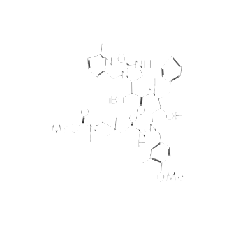 CCC(C)C(C(=O)NC(Cc1ccccc1)C(O)CN(Cc1ccc(OC)c(C)c1)NC(=O)CC(C)(C)CNC(=O)OC)C1CNC(=O)N1Cc1cccc(C)n1